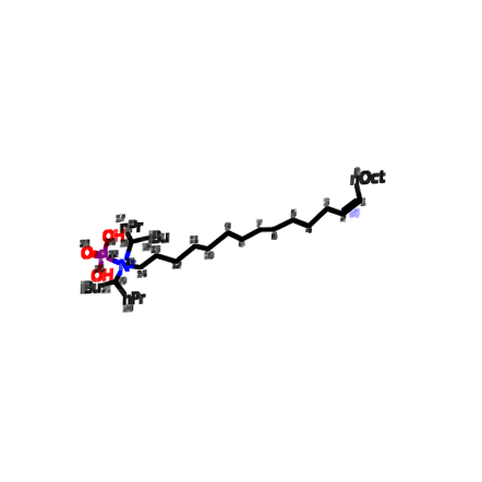 CCCCCCCC/C=C\CCCCCCCCCCCC[N+](C(CCC)C(C)CC)(C(CCC)C(C)CC)P(=O)(O)O